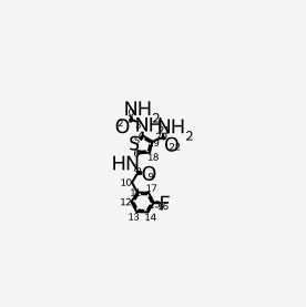 NC(=O)Nc1sc(NC(=O)Cc2cccc(F)c2)cc1C(N)=O